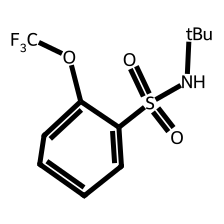 CC(C)(C)NS(=O)(=O)c1ccccc1OC(F)(F)F